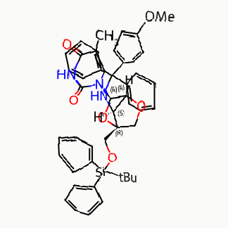 COc1ccc(C(N[C@H]2[C@H]3OC[C@]2(CO[Si](c2ccccc2)(c2ccccc2)C(C)(C)C)O[C@H]3n2cc(C)c(=O)[nH]c2=O)(c2ccccc2)c2ccccc2)cc1